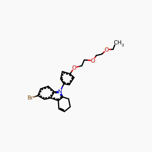 CCOCCOCCOc1ccc(-n2c3c(c4cc(Br)ccc42)C=CCC3)cc1